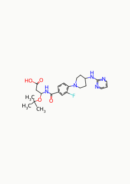 CC(C)(C)OC(CC(=O)O)NC(=O)c1ccc(N2CCC(Nc3ncccn3)CC2)c(F)c1